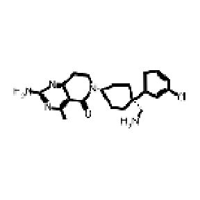 Cc1nc(N)nc2c1C(=O)N([C@H]1CC[C@](CN)(C3C=C(Cl)C=CC3)CC1)CC2